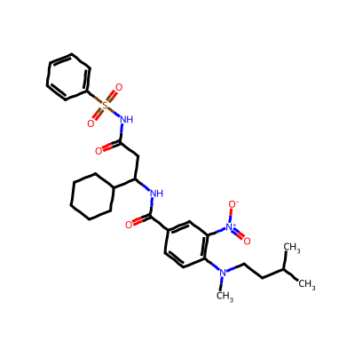 CC(C)CCN(C)c1ccc(C(=O)NC(CC(=O)NS(=O)(=O)c2ccccc2)C2CCCCC2)cc1[N+](=O)[O-]